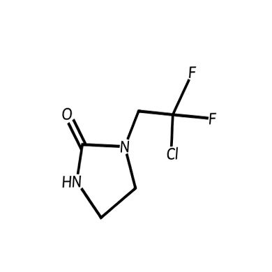 O=C1NCCN1CC(F)(F)Cl